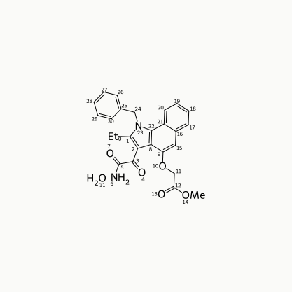 CCc1c(C(=O)C(N)=O)c2c(OCC(=O)OC)cc3ccccc3c2n1Cc1ccccc1.O